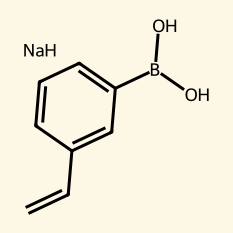 C=Cc1cccc(B(O)O)c1.[NaH]